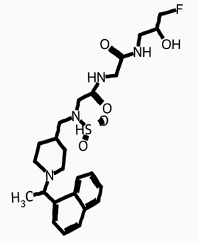 CC(c1cccc2ccccc12)N1CCC(CN(CC(=O)NCC(=O)NCC(O)CF)[SH](=O)=O)CC1